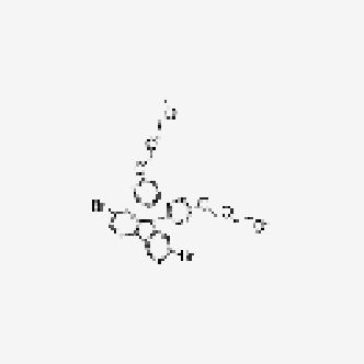 COCCOCOc1ccc(C2(c3ccc(OCOCCOC)cc3)c3cc(Br)ccc3-c3ccc(Br)cc32)cc1